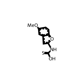 COc1ccc2oc(NC(O)=S)cc2c1